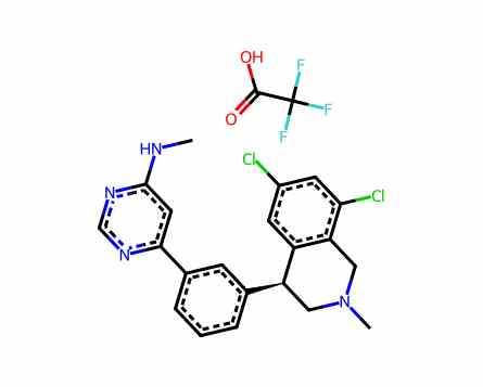 CNc1cc(-c2cccc([C@@H]3CN(C)Cc4c(Cl)cc(Cl)cc43)c2)ncn1.O=C(O)C(F)(F)F